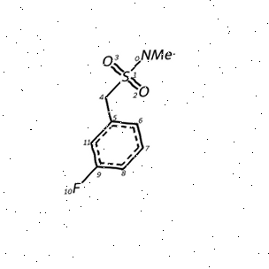 C[N]S(=O)(=O)Cc1cccc(F)c1